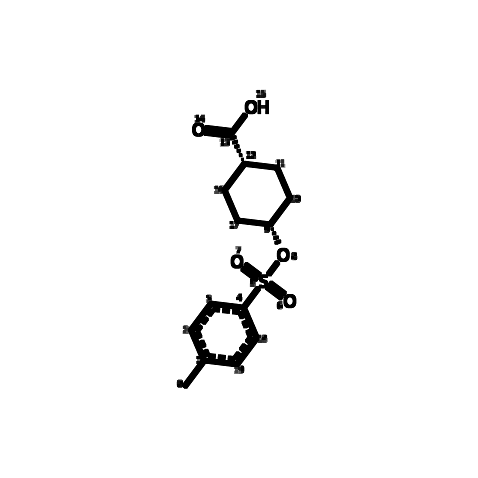 Cc1ccc(S(=O)(=O)O[C@H]2CC[C@@H](C(=O)O)CC2)cc1